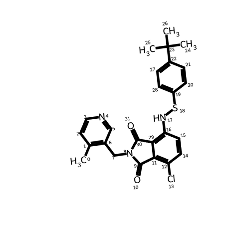 Cc1ccncc1CN1C(=O)c2c(Cl)ccc(NSc3ccc(C(C)(C)C)cc3)c2C1=O